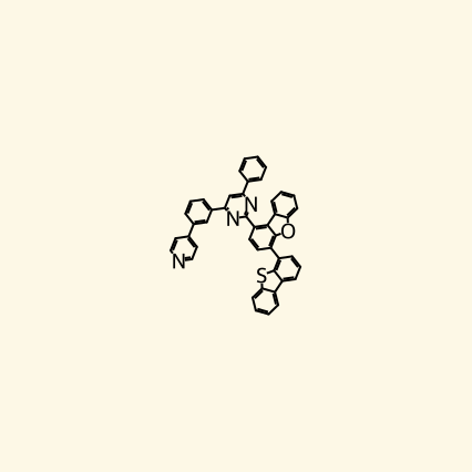 c1ccc(-c2cc(-c3cccc(-c4ccncc4)c3)nc(-c3ccc(-c4cccc5c4sc4ccccc45)c4oc5ccccc5c34)n2)cc1